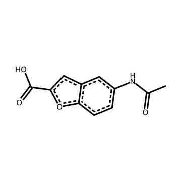 CC(=O)Nc1ccc2oc(C(=O)O)cc2c1